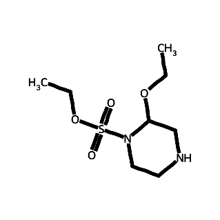 CCOC1CNCCN1S(=O)(=O)OCC